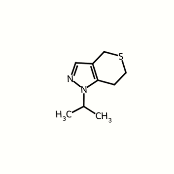 CC(C)n1ncc2c1CCSC2